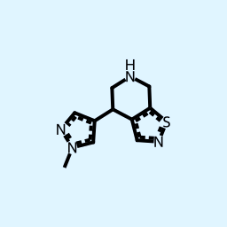 Cn1cc(C2CNCc3sncc32)cn1